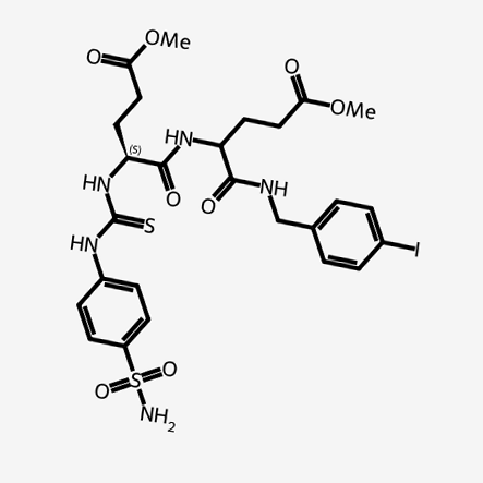 COC(=O)CCC(NC(=O)[C@H](CCC(=O)OC)NC(=S)Nc1ccc(S(N)(=O)=O)cc1)C(=O)NCc1ccc(I)cc1